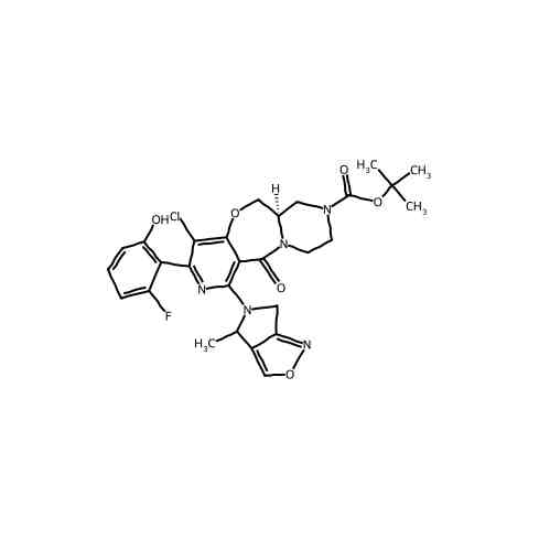 CC1c2conc2CN1c1nc(-c2c(O)cccc2F)c(Cl)c2c1C(=O)N1CCN(C(=O)OC(C)(C)C)C[C@@H]1CO2